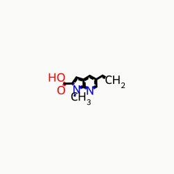 C=Cc1cnc2c(c1)cc(C(=O)O)n2C